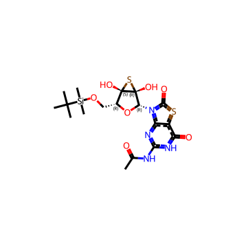 CC(=O)Nc1nc2c(sc(=O)n2[C@@H]2O[C@H](CO[Si](C)(C)C(C)(C)C)[C@]3(O)S[C@]23O)c(=O)[nH]1